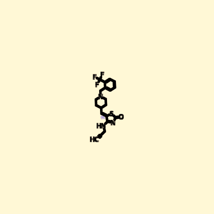 C#CCNC1=NC(=O)S/C1=C\C1CCN(Cc2ccccc2C(F)(F)F)CC1